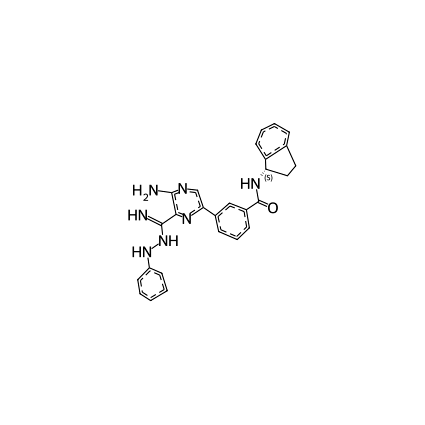 N=C(NNc1ccccc1)c1nc(-c2cccc(C(=O)N[C@H]3CCc4ccccc43)c2)cnc1N